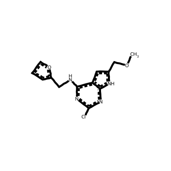 COCc1cc2c(NCc3ccco3)nc(Cl)nc2[nH]1